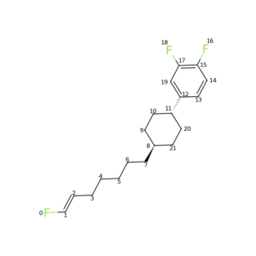 F/C=C/CCCCC[C@H]1CC[C@H](c2ccc(F)c(F)c2)CC1